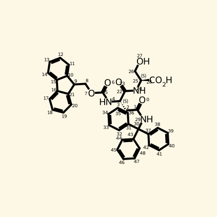 O=C(C[C@H](NC(=O)OCC1c2ccccc2-c2ccccc21)C(=O)N[C@@H](CO)C(=O)O)NC(c1ccccc1)(c1ccccc1)c1ccccc1